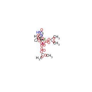 COCC(COC)OC(=O)OCOP(=O)(OCOC(=O)OC(COC)COC)OC1[C@]23OC4(CCCC4)O[C@@]2(C)[C@H](n2ccc(=O)[nH]c2=O)O[C@]13CF